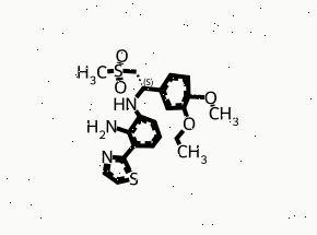 CCOc1cc([C@@H](CS(C)(=O)=O)Nc2cccc(-c3nccs3)c2N)ccc1OC